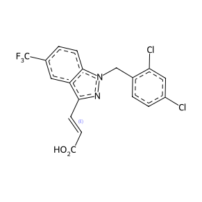 O=C(O)/C=C/c1nn(Cc2ccc(Cl)cc2Cl)c2ccc(C(F)(F)F)cc12